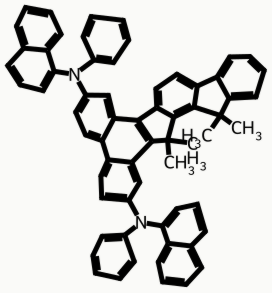 CC1(C)c2ccccc2-c2ccc3c(c21)C(C)(C)c1c-3c2cc(N(c3ccccc3)c3cccc4ccccc34)ccc2c2ccc(N(c3ccccc3)c3cccc4ccccc34)cc12